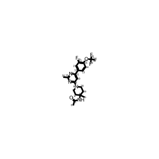 CC(=O)NC1(C)CCN(c2cc(-c3ccc(OC(F)(F)F)c(F)c3)nc(C)n2)CC1